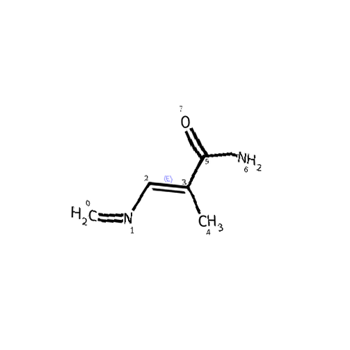 C=N/C=C(\C)C(N)=O